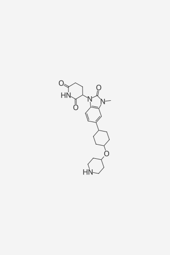 Cn1c(=O)n(C2CCC(=O)NC2=O)c2ccc(C3CCC(OC4CCNCC4)CC3)cc21